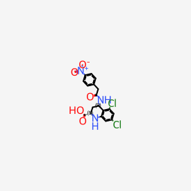 O=C(Cc1ccc([N+](=O)[O-])cc1)N[C@@H]1C[C@@H](C(=O)O)Nc2cc(Cl)cc(Cl)c21